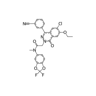 CCOc1cc2c(=O)n(CC(=O)N(C)c3ccc4c(c3)OC(F)(F)O4)nc(-c3cccc(C#N)c3)c2cc1Cl